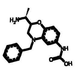 C[C@@H](N)C1CN(Cc2ccccc2)c2cc(NC(=O)O)ccc2O1